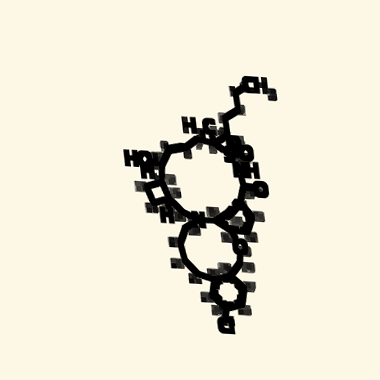 CCCCCC1(C)C/C=C/[C@H](O)[C@@H]2CC[C@H]2CN2CCCCc3cc(Cl)ccc3COc3ccc(cc32)C(=O)NS1(=O)=O